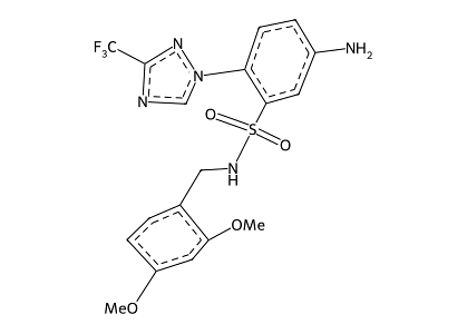 COc1ccc(CNS(=O)(=O)c2cc(N)ccc2-n2cnc(C(F)(F)F)n2)c(OC)c1